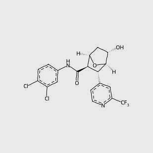 O=C(Nc1ccc(Cl)c(Cl)c1)[C@@H]1[C@@H](c2ccnc(C(F)(F)F)c2)[C@H]2O[C@@H]1C[C@@H]2O